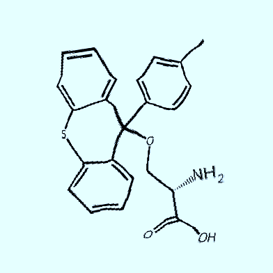 Cc1ccc(C2(OC[C@H](N)C(=O)O)c3ccccc3Sc3ccccc32)cc1